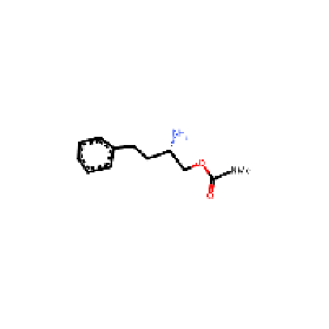 CNC(=O)OC[C@@H](N)CCc1ccccc1